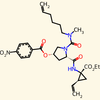 C=CCCCCN(C)C(=O)N1C[C@@H](OC(=O)c2ccc([N+](=O)[O-])cc2)C[C@H]1C(=O)N[C@]1(C(=O)OCC)C[C@H]1C=C